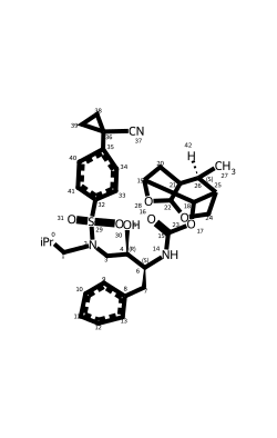 CC(C)CN(C[C@@H](O)[C@H](Cc1ccccc1)NC(=O)OC1C2CC3C(OCC1[C@@H]3C)O2)S(=O)(=O)c1ccc(C2(C#N)CC2)cc1